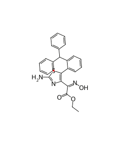 CCOC(=O)C(=NO)c1nc(N)sc1-c1ccccc1C(c1ccccc1)c1ccccc1